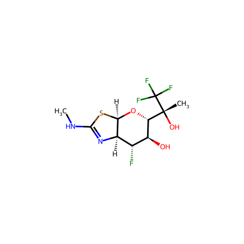 CNC1=N[C@@H]2[C@@H](F)[C@H](O)[C@@H]([C@@](C)(O)C(F)(F)F)O[C@@H]2S1